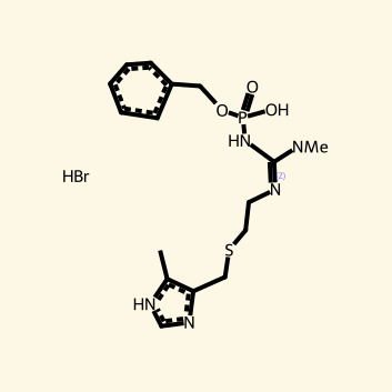 Br.CN/C(=N/CCSCc1nc[nH]c1C)NP(=O)(O)OCc1ccccc1